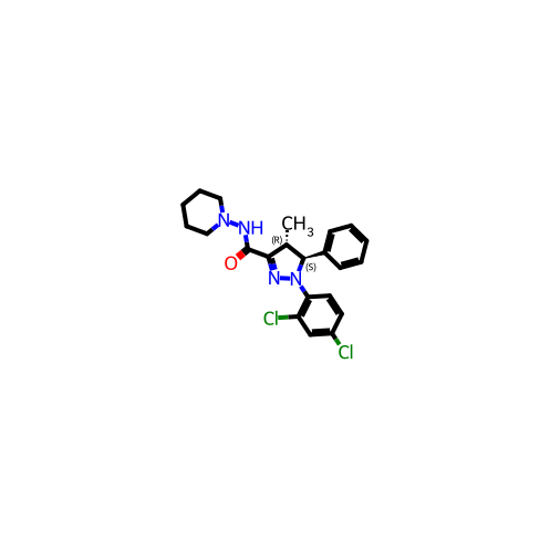 C[C@H]1C(C(=O)NN2CCCCC2)=NN(c2ccc(Cl)cc2Cl)[C@@H]1c1ccccc1